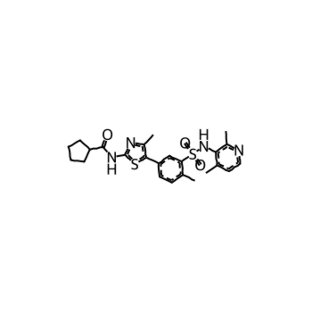 Cc1ccc(-c2sc(NC(=O)C3CCCC3)nc2C)cc1S(=O)(=O)Nc1c(C)ccnc1C